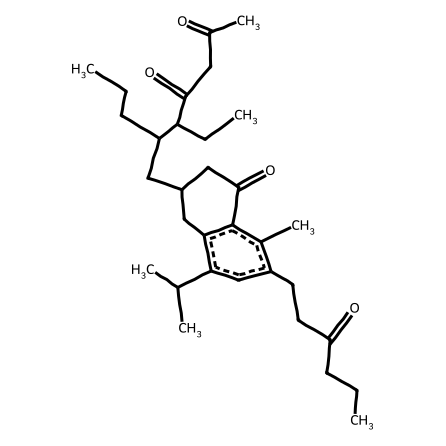 CCCC(=O)CCc1cc(C(C)C)c2c(c1C)C(=O)CC(CC(CCC)C(CC)C(=O)CC(C)=O)C2